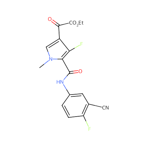 CCOC(=O)C(=O)c1cn(C)c(C(=O)Nc2ccc(F)c(C#N)c2)c1F